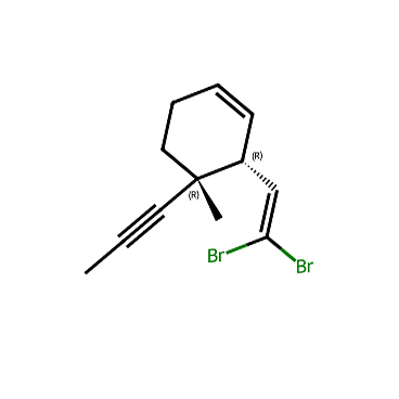 CC#C[C@]1(C)CCC=C[C@@H]1C=C(Br)Br